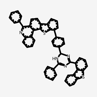 c1ccc(C2=NC(c3cccc4sc5ccccc5c34)=NC(c3ccc(-c4cccc5c4sc4c5ccc5c(-c6ccccc6)nc6ccccc6c54)cc3)N2)cc1